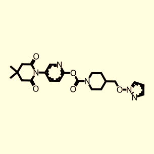 CC1(C)CC(=O)N(c2ccc(OC(=O)N3CCC(COn4cccn4)CC3)nc2)C(=O)C1